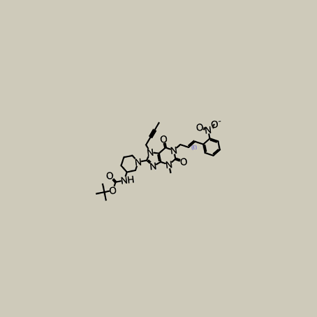 CC#CCn1c(N2CCCC(NC(=O)OC(C)(C)C)C2)nc2c1c(=O)n(C/C=C/c1ccccc1[N+](=O)[O-])c(=O)n2C